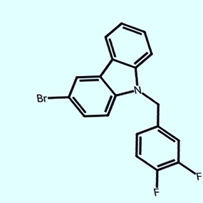 Fc1ccc(Cn2c3ccccc3c3cc(Br)ccc32)cc1F